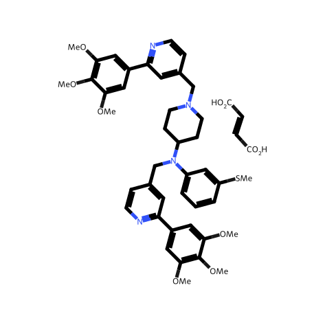 COc1cc(-c2cc(CN3CCC(N(Cc4ccnc(-c5cc(OC)c(OC)c(OC)c5)c4)c4cccc(SC)c4)CC3)ccn2)cc(OC)c1OC.O=C(O)/C=C/C(=O)O